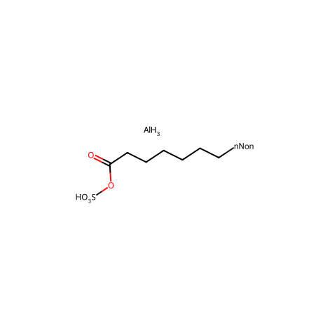 CCCCCCCCCCCCCCCC(=O)OS(=O)(=O)O.[AlH3]